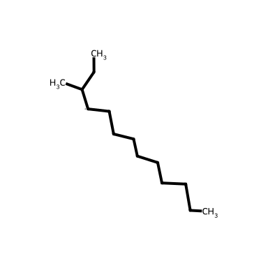 CCCCCCCCC[CH]C(C)CC